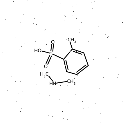 CNC.Cc1ccccc1S(=O)(=O)O